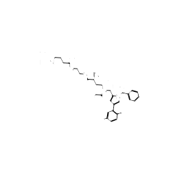 CC(C)(C)[C@H](c1cc(-c2cc(F)ccc2F)cn1Cc1ccccc1)N(CC[C@H](N)C(=O)NCCNC(=O)CC[C@H](N)C(=O)O)C(=O)CO